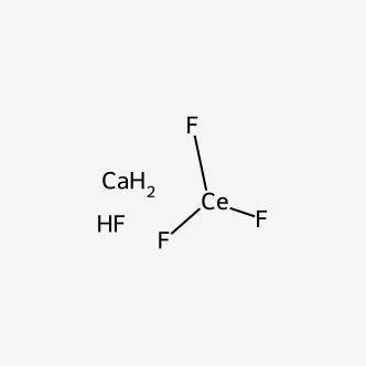 F.[CaH2].[F][Ce]([F])[F]